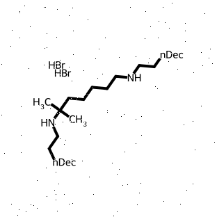 Br.Br.CCCCCCCCCCCCNCCCCCC(C)(C)NCCCCCCCCCCCC